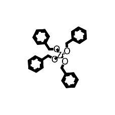 c1ccc(C[O][Zr]([O]Cc2ccccc2)([O]Cc2ccccc2)[O]Cc2ccccc2)cc1